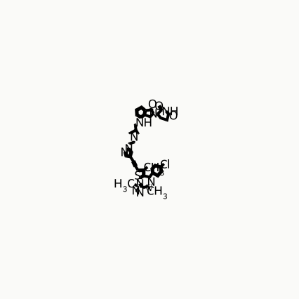 Cc1c(C#Cc2cnn(CCN3CC(CNc4cccc5c4CN(C4CCC(=O)NC4=O)C5=O)C3)c2)sc2c1C(c1ccc(Cl)cc1)=N[C@@H](C)c1nnc(C)n1-2